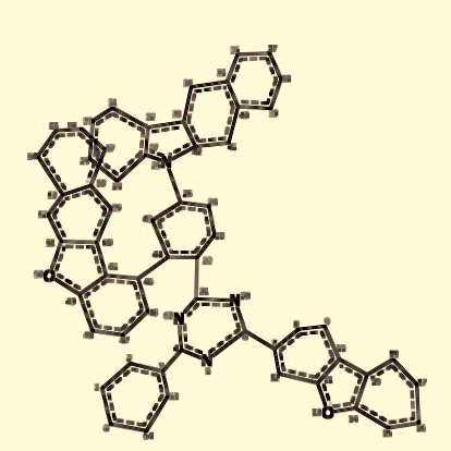 c1ccc(-c2nc(-c3ccc4c(c3)oc3ccccc34)nc(-c3ccc(-n4c5ccccc5c5cc6ccccc6cc54)cc3-c3cccc4oc5cc6ccccc6cc5c34)n2)cc1